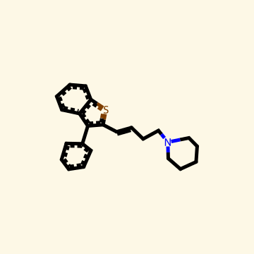 C(=Cc1sc2ccccc2c1-c1ccccc1)CCN1CCCCC1